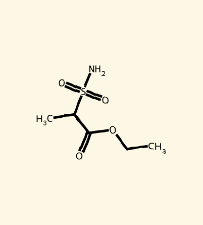 CCOC(=O)C(C)S(N)(=O)=O